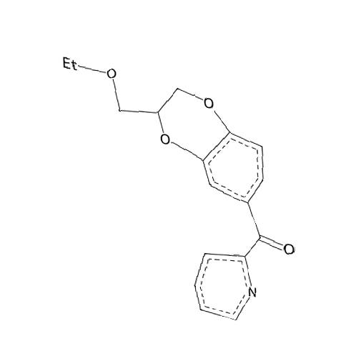 CCOCC1COc2ccc(C(=O)c3ccccn3)cc2O1